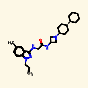 C=CCn1nc(NCC(=O)NC2CN([C@H]3CC[C@@H](C4CCCCC4)CC3)C2)c2cc(C)ccc21